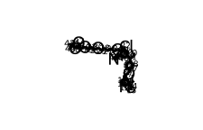 CCC(c1ccc(OCc2ccnc(SC)n2)cc1)c1cc(Cl)c(OCCCCCOCCCOCC(=O)OC(C)(C)C)c(C#N)c1